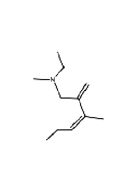 C=C(CN(C)CC)/C(C)=C\CC